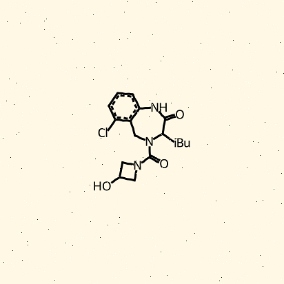 CCC(C)C1C(=O)Nc2cccc(Cl)c2CN1C(=O)N1CC(O)C1